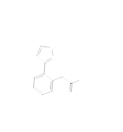 CC(=O)Cc1ccccc1-c1cc[nH]n1